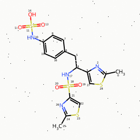 Cc1nc(C(Cc2ccc(NS(=O)(=O)O)cc2)NS(=O)(=O)c2csc(C)n2)cs1